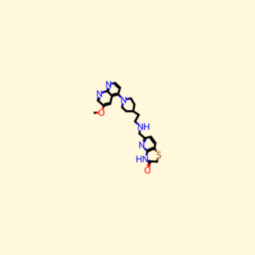 COc1cnc2nccc(N3CCC(CCNCc4ccc5c(n4)NC(=O)CS5)CC3)c2c1